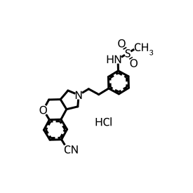 CS(=O)(=O)Nc1cccc(CCN2CC3COc4ccc(C#N)cc4C3C2)c1.Cl